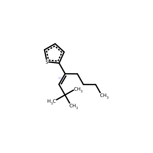 CCCC/C(=C\C(C)(C)C)c1cccs1